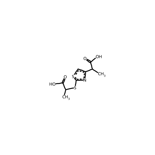 CC(Sc1nc(C(C)C(=O)O)cs1)C(=O)O